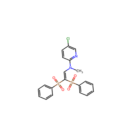 CN(C=C(S(=O)(=O)c1ccccc1)S(=O)(=O)c1ccccc1)c1ccc(Cl)cn1